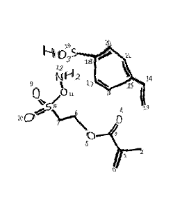 C=C(C)C(=O)OCCS(=O)(=O)ON.C=Cc1ccc(S(=O)(=O)O)cc1